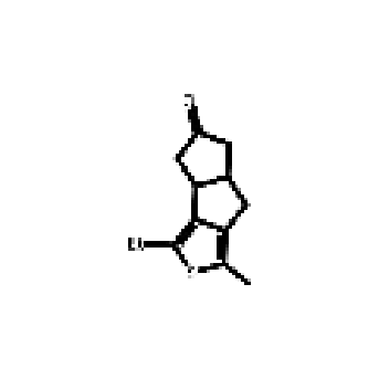 CCc1sc(C)c2c1C1CC(=O)CC1C2